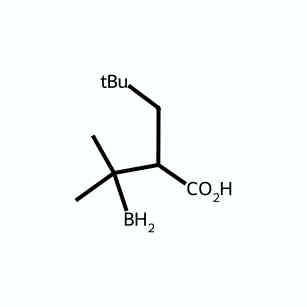 BC(C)(C)C(CC(C)(C)C)C(=O)O